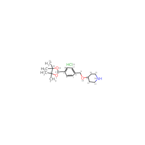 CC1(C)OB(c2ccc(COC3CCNCC3)cc2)OC1(C)C.Cl